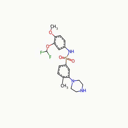 COc1ccc(NS(=O)(=O)c2ccc(C)c(N3CCNCC3)c2)cc1OC(F)F